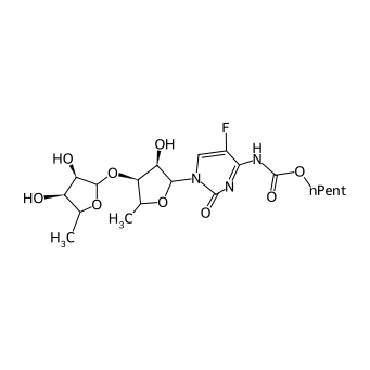 CCCCCOC(=O)Nc1nc(=O)n(C2OC(C)[C@@H](OC3OC(C)[C@@H](O)[C@H]3O)[C@H]2O)cc1F